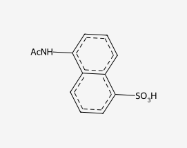 CC(=O)Nc1cccc2c(S(=O)(=O)O)cccc12